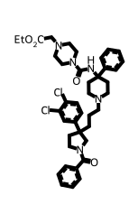 CCOC(=O)CN1CCN(C(=O)NC2(c3ccccc3)CCN(CCCC3(c4ccc(Cl)c(Cl)c4)CCN(C(=O)c4ccccc4)C3)CC2)CC1